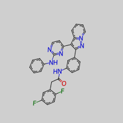 O=C(Cc1cc(F)ccc1F)Nc1cccc(-c2nn3ccccc3c2-c2ccnc(Nc3ccccc3)n2)c1